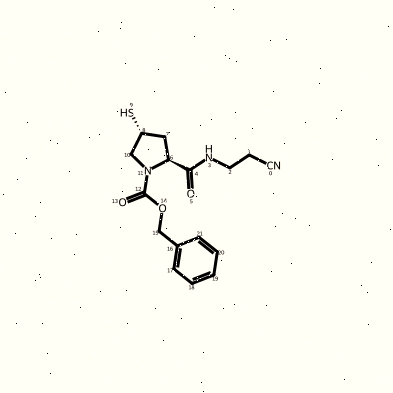 N#CCCNC(=O)[C@@H]1C[C@@H](S)CN1C(=O)OCc1ccccc1